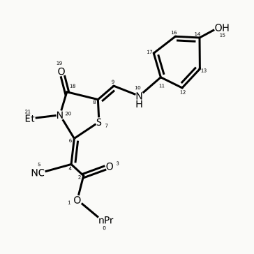 CCCOC(=O)/C(C#N)=c1\sc(=CNc2ccc(O)cc2)c(=O)n1CC